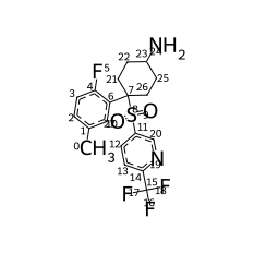 Cc1ccc(F)c(C2(S(=O)(=O)c3ccc(C(F)(F)F)nc3)CCC(N)CC2)c1